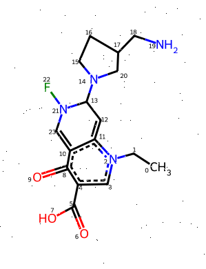 CCn1cc(C(=O)O)c(=O)c2c1=CC(N1CCC(CN)C1)N(F)C=2